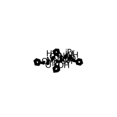 CC(C)[C@H](NC(=O)OCc1ccccc1)C(=O)N[C@@H](Cc1ccccc1)[C@H](O)[C@H](O)[C@H](Cc1ccccc1)NC(=O)[C@@H](NC(=O)OCc1ccccc1)C(C)C